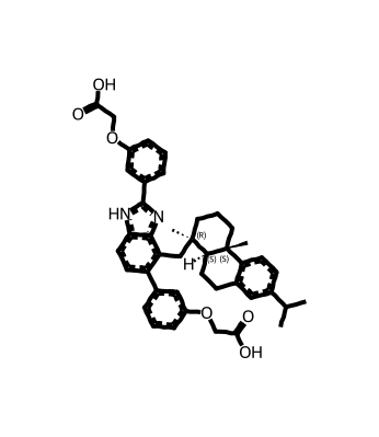 CC(C)c1ccc2c(c1)CC[C@H]1[C@@](C)(Cc3c(-c4cccc(OCC(=O)O)c4)ccc4[nH]c(-c5cccc(OCC(=O)O)c5)nc34)CCC[C@]21C